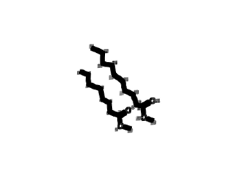 CCCCCCCC(=O)OC.CCCCCCCCCC(=O)OC